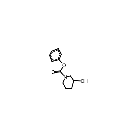 O=C(Oc1ccccc1)N1CCCC(O)C1